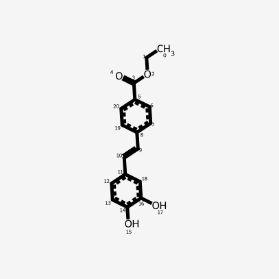 CCOC(=O)c1ccc(C=Cc2ccc(O)c(O)c2)cc1